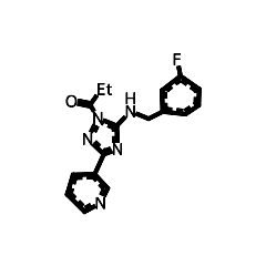 CCC(=O)n1nc(-c2cccnc2)nc1NCc1cccc(F)c1